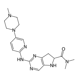 CN1CCN(c2ccc(Nc3ncc4c(n3)CC(C(=O)N(C)C)N4)nc2)CC1